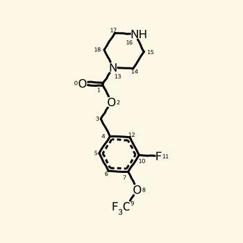 O=C(OCc1ccc(OC(F)(F)F)c(F)c1)N1CCNCC1